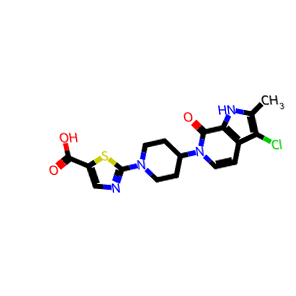 Cc1[nH]c2c(=O)n(C3CCN(c4ncc(C(=O)O)s4)CC3)ccc2c1Cl